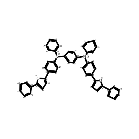 c1ccc(-c2ccc(-c3ccc(N(c4ccccc4)c4ccc(N(c5ccccc5)c5ccc(-c6ccc(-c7ccccc7)o6)cc5)cc4)cc3)o2)cc1